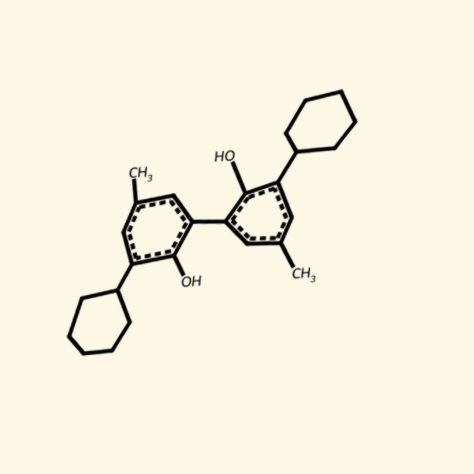 Cc1cc(-c2cc(C)cc(C3CCCCC3)c2O)c(O)c(C2CCCCC2)c1